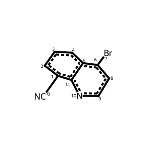 N#Cc1cccc2c(Br)ccnc12